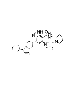 CN(CCN1CCCCC1)c1cc(-c2ccc3c(c2)ncn3C2CCCCC2)c2nc[nH]c2c1C(N)=O